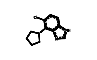 Clc1ccc2[nH][c]nc2c1N1CCCC1